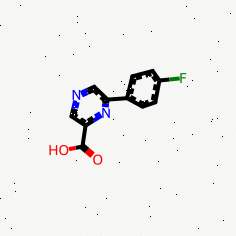 O=C(O)c1cncc(-c2ccc(F)cc2)n1